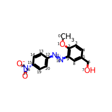 COc1ccc(CO)cc1/N=N/c1ccc([N+](=O)[O-])cc1